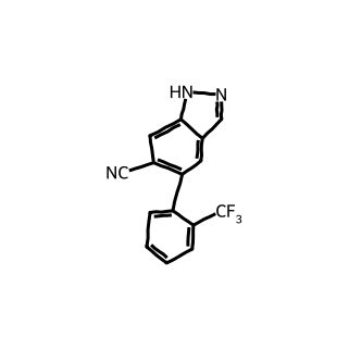 N#Cc1cc2[nH]ncc2cc1-c1ccccc1C(F)(F)F